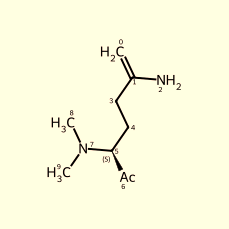 C=C(N)CC[C@@H](C(C)=O)N(C)C